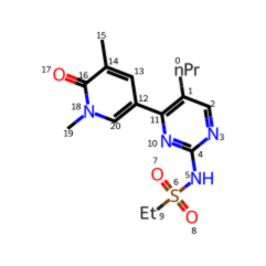 CCCc1cnc(NS(=O)(=O)CC)nc1-c1cc(C)c(=O)n(C)c1